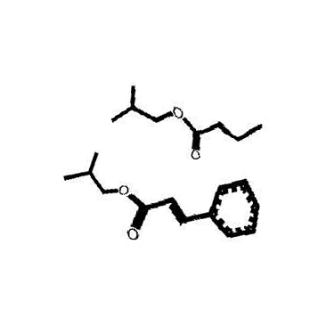 CC(C)COC(=O)/C=C/c1ccccc1.CCCC(=O)OCC(C)C